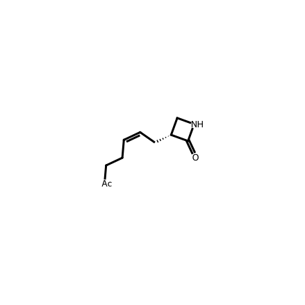 CC(=O)CC/C=C\C[C@@H]1CNC1=O